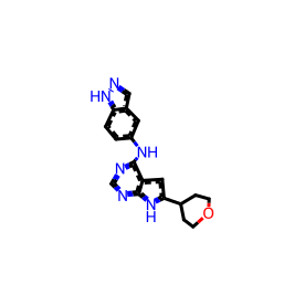 c1nc(Nc2ccc3[nH]ncc3c2)c2cc(C3CCOCC3)[nH]c2n1